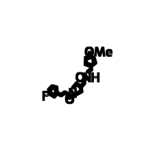 COc1ccc(CCNC(=O)CC2CCN(C(=O)CCc3cccc(F)c3)CC2)cc1